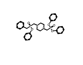 O=P(Cc1ccccc1)(CN1CCN(CP(=O)(Oc2ccccc2)Oc2ccccc2)CC1)Oc1ccccc1